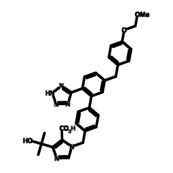 COCOc1ccc(Cc2ccc(-c3nn[nH]n3)c(-c3ccc(Cn4cnc(C(C)(C)O)c4C(=O)O)cc3)c2)cc1